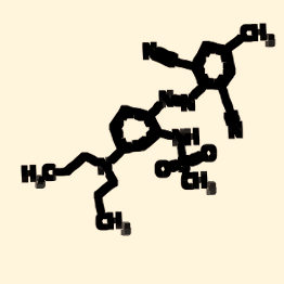 CCCN(CCC)c1ccc(N=Nc2c(C#N)cc(C)cc2C#N)c(NS(C)(=O)=O)c1